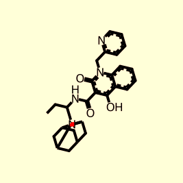 CCC(NC(=O)c1c(O)c2ccccc2n(Cc2ccccn2)c1=O)N1C2CC3CC(C2)CC1C3